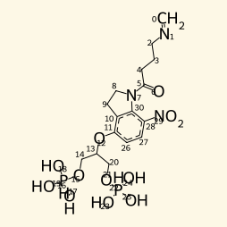 C=NCCCC(=O)N1CCc2c(OC(CO[PH](O)(O)O)CO[PH](O)(O)O)ccc([N+](=O)[O-])c21